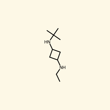 CCNC1CC(NC(C)(C)C)C1